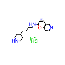 Cl.Cl.O=C(/C=C\c1cccnc1)NCCCCC1CCNCC1